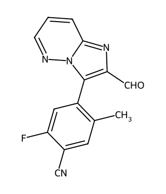 Cc1cc(C#N)c(F)cc1-c1c(C=O)nc2cccnn12